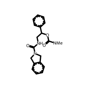 CNC(=O)OC(CNC(=O)N1Cc2ccccc2C1)c1ccccc1